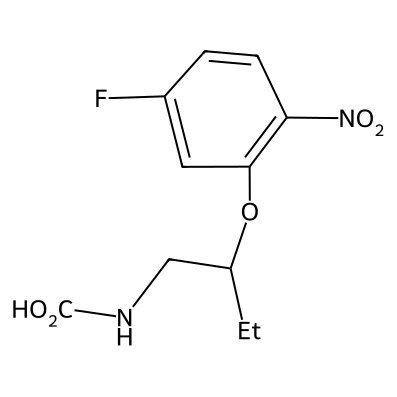 CCC(CNC(=O)O)Oc1cc(F)ccc1[N+](=O)[O-]